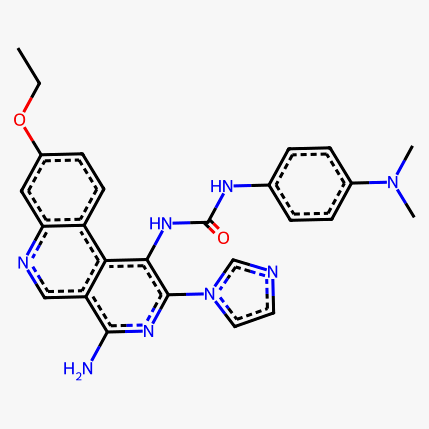 CCOc1ccc2c(c1)ncc1c(N)nc(-n3ccnc3)c(NC(=O)Nc3ccc(N(C)C)cc3)c12